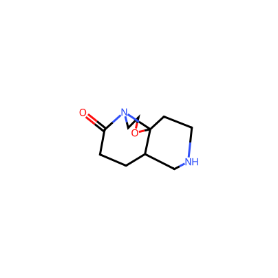 O=C1CCC2CNCCC23OCCN13